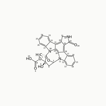 C[C@]12OC(C[C@]1(O)OC(=O)O)n1c3ccccc3c3c4c(c5c6ccccc6n2c5c31)CNC4=O